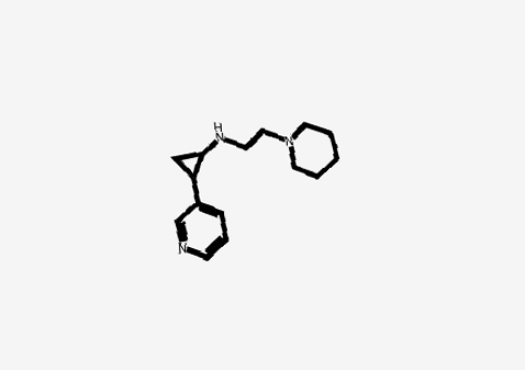 c1cncc(C2CC2NCCN2CCCCC2)c1